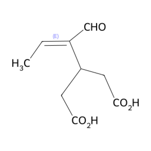 C/C=C(/C=O)C(CC(=O)O)CC(=O)O